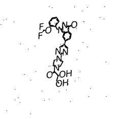 C[C@@H]1CN(c2ncc(-c3ccc4c(=O)n(C)n(Cc5ccccc5OC(F)F)c4c3)cn2)CCN1C(=O)[C@@H](O)CO